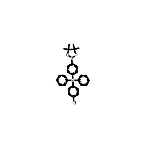 CC1(C)OB(c2ccc([Si](c3ccccc3)(c3ccccc3)c3ccc(Cl)cc3)cc2)OC1(C)C